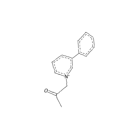 CC(=O)C[n+]1cccc(-c2ccccc2)c1